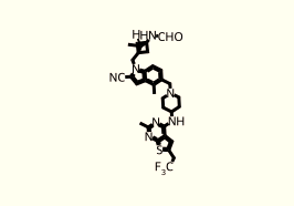 Cc1nc(NC2CCN(Cc3ccc4c(cc(C#N)n4CC45CC(NC=O)(C4)[C@H]5C)c3C)CC2)c2cc(CC(F)(F)F)sc2n1